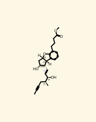 CC#CC[C@H](C)[C@H](O)/C=C/[C@H]1[C@H]2c3cccc(CCCC(=O)OC)c3O[C@H]2C[C@@H]1O